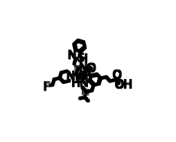 CC(C)[C@H]1CNc2c(cc(CCC(=O)O)cc2S(=O)(=O)N[C@@H](Cc2nc3ccccc3s2)C(=O)N2CCC(CCF)CC2)C1